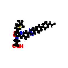 CCCC1CCC(C2CC=C(c3cnc(-c4ccc(CC(NC(=O)c5ccc(C(C)(C)C)s5)C(=O)N5CC(C(=O)O)C5)cc4)nc3)CC2)CC1